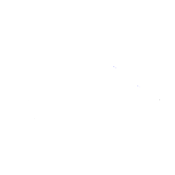 Cc1[c]ccc(-c2ccc(CN3CCN(C)CC3)cc2)c1